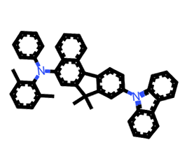 Cc1cccc(C)c1N(c1ccccc1)c1cc2c(c3ccccc13)-c1ccc(-n3c4ccccc4c4ccccc43)cc1C2(C)C